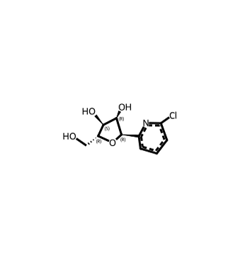 OC[C@H]1O[C@H](c2cccc(Cl)n2)[C@H](O)[C@@H]1O